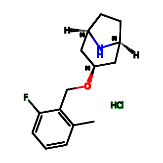 Cc1cccc(F)c1CO[C@H]1C[C@H]2CC[C@@H](C1)N2.Cl